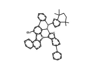 CC(C)(C)c1cc2c3c4c1c1c5ccccc5ccc1n4-c1c(sc4ccc(-c5ccccc5)cc14)B3N(c1ccc3c(c1)C(C)(C)CCC3(C)C)c1ccccc1-2